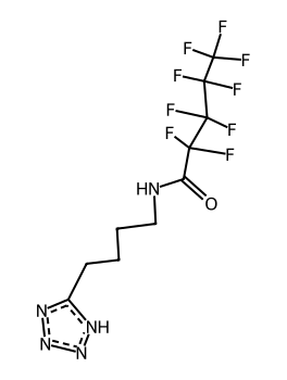 O=C(NCCCCc1nnn[nH]1)C(F)(F)C(F)(F)C(F)(F)C(F)(F)F